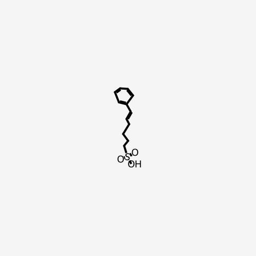 O=S(=O)(O)CCCCC=Cc1ccccc1